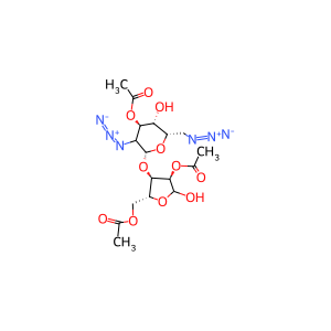 CC(=O)OC[C@H]1OC(O)[C@H](OC(C)=O)[C@@H]1O[C@H]1O[C@@H](CN=[N+]=[N-])[C@@H](O)[C@H](OC(C)=O)C1N=[N+]=[N-]